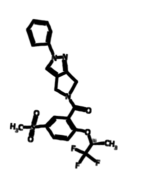 C[C@H](Oc1ccc(S(C)(=O)=O)cc1C(=O)N1Cc2cn(-c3ccccc3)nc2C1)C(F)(F)F